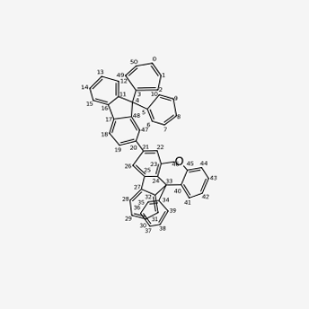 c1ccc(C2(c3ccccc3)c3ccccc3-c3ccc(-c4cc5c6c(c4)-c4ccccc4C6(c4ccccc4)c4ccccc4O5)cc32)cc1